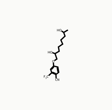 CC(O)CCCCCC(O)COc1ccc(C#N)c(C(F)(F)F)c1